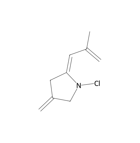 C=C(C)/C=C1/CC(=C)CN1Cl